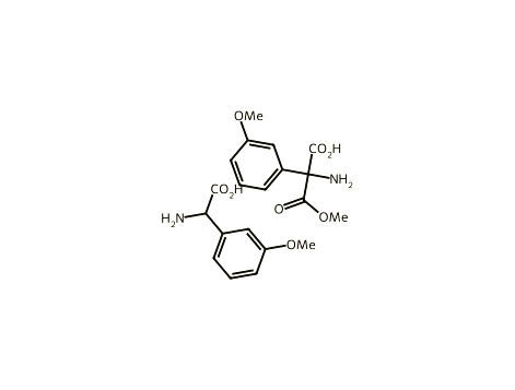 COC(=O)C(N)(C(=O)O)c1cccc(OC)c1.COc1cccc(C(N)C(=O)O)c1